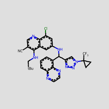 CC(C)(C)CNc1c(C#N)cnc2c(Cl)cc(NC(c3cn(C4(C(F)(F)F)CC4)nn3)c3cccc4nccnc34)cc12